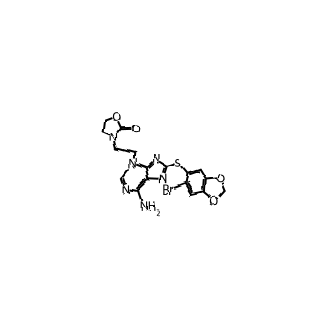 Nc1ncn(CCN2CCOC2=O)c2nc(Sc3cc4c(cc3Br)OCO4)nc1-2